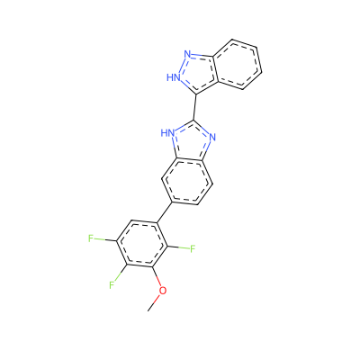 COc1c(F)c(F)cc(-c2ccc3nc(-c4[nH]nc5ccccc45)[nH]c3c2)c1F